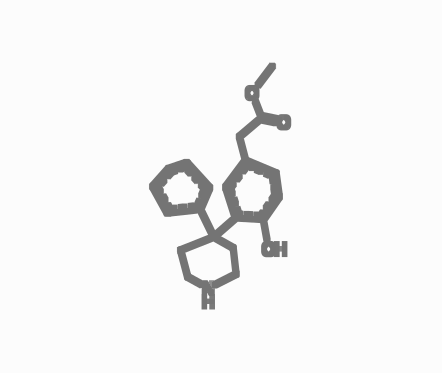 COC(=O)Cc1ccc(O)c(C2(c3ccccc3)CCNCC2)c1